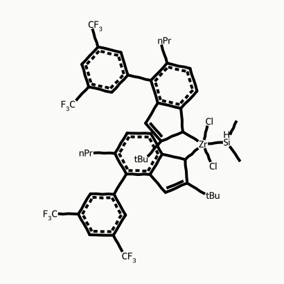 CCCc1ccc2c(c1-c1cc(C(F)(F)F)cc(C(F)(F)F)c1)C=C(C(C)(C)C)[CH]2[Zr]([Cl])([Cl])([CH]1C(C(C)(C)C)=Cc2c1ccc(CCC)c2-c1cc(C(F)(F)F)cc(C(F)(F)F)c1)[SiH](C)C